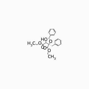 CCOC(=O)C(O)[C@@](Cc1ccccc1)(OCc1ccccc1)C(=O)OCC